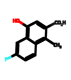 Cc1c(C(=O)O)cc(O)c2cc(F)ccc12